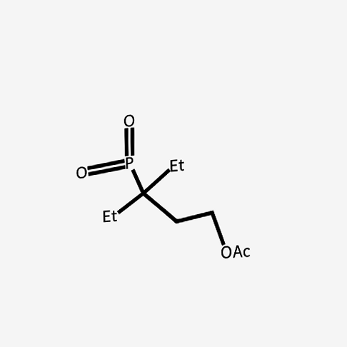 CCC(CC)(CCOC(C)=O)P(=O)=O